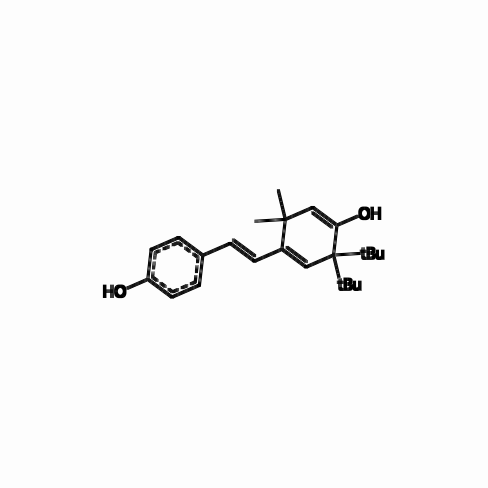 CC1(C)C=C(O)C(C(C)(C)C)(C(C)(C)C)C=C1C=Cc1ccc(O)cc1